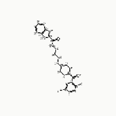 Cc1ccc(F)cc1C(=O)N1CCC(CCCCNC(=O)c2cc3ccncc3s2)CC1